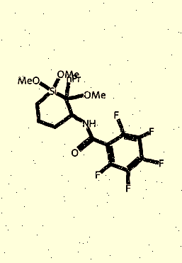 CCCC1(OC)C(NC(=O)c2c(F)c(F)c(F)c(F)c2F)CCC[Si]1(OC)OC